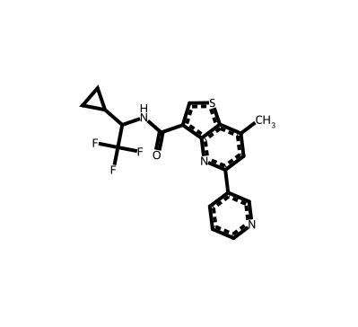 Cc1cc(-c2cccnc2)nc2c(C(=O)NC(C3CC3)C(F)(F)F)csc12